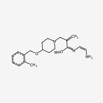 C=C(CN1CCC(OCc2ccccc2C)CC1)/C(=N\C=C/N)OC